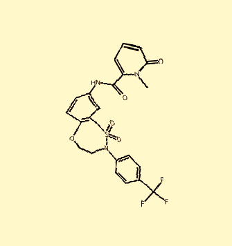 Cn1c(C(=O)Nc2ccc3c(c2)S(=O)(=O)N(c2ccc(C(F)(F)F)cc2)CCO3)cccc1=O